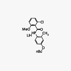 CCCCOc1ccc(PC(=O)c2c(Cl)cccc2OC)c(C)c1.[LiH]